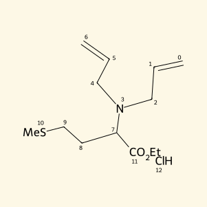 C=CCN(CC=C)C(CCSC)C(=O)OCC.Cl